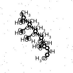 COc1ccc(Nc2ccc3c(O)c(N=Nc4cc(C)c(N=Nc5cc(C)c(N=Nc6cc(C)c(N=Nc7ccc(OC)cc7S(=O)(=O)O)cc6OCCCS(=O)(=O)O)cc5OCCCS(=O)(=O)O)cc4C)c(S(=O)(=O)O)cc3c2)cc1